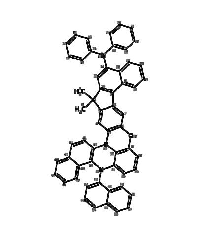 CC1(C)c2cc3c(cc2-c2c1cc(N(c1ccccc1)c1ccccc1)c1ccccc21)Oc1cccc2c1B3c1ccc3ccccc3c1N2c1cccc2ccccc12